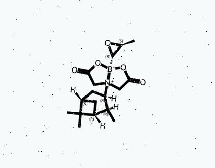 C[C@@H]1[C@H]2C[C@@H](C[C@H]1[N+]13CC(=O)O[B-]1([C@@H]1O[C@H]1C)OC(=O)C3)C2(C)C